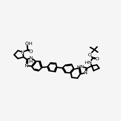 CC(C)(C)OC(=O)NC1(c2nc3c([nH]2)-c2ccc(-c4ccc(-c5ccc6nc(C7CCCN7C(=O)O)[nH]c6c5)cc4)cc2CC3)CCC1